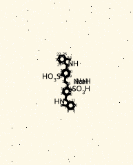 O=S(=O)(O)c1cc(C2NCc3ccccc32)ccc1C=Cc1ccc(C2NCc3ccccc32)cc1S(=O)(=O)O.[NaH].[NaH]